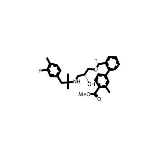 COC(=O)c1ccc(-c2ccccc2[C@@H](C)OC[C@H](O)CNC(C)(C)Cc2ccc(C)c(F)c2)cc1C